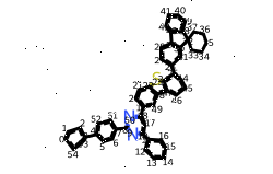 c1ccc(-c2ccc(-c3nc(-c4ccccc4)cc(-c4ccc5sc6c(-c7ccc8c(c7)C7(CCCCC7)c7ccccc7-8)cccc6c5c4)n3)cc2)cc1